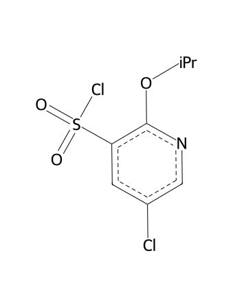 CC(C)Oc1ncc(Cl)cc1S(=O)(=O)Cl